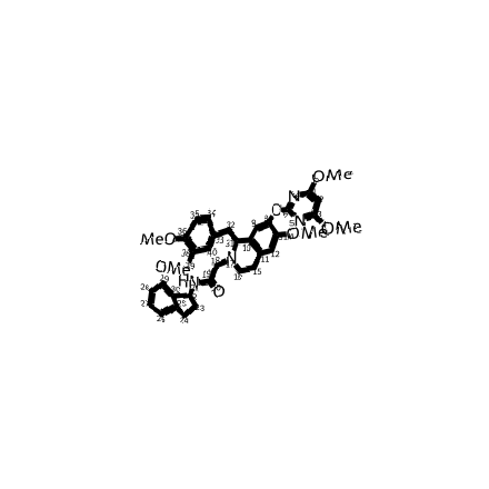 COc1cc(OC)nc(Oc2cc3c(cc2OC)CCN(CC(=O)NC2CCc4ccccc42)C3Cc2ccc(OC)c(OC)c2)n1